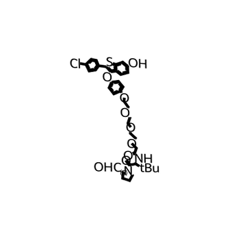 CC(C)(C)C(NC(=O)COCCOCCOCCOc1ccc(Oc2c(-c3ccc(Cl)cc3)sc3cc(O)ccc23)cc1)C(=O)N1CCC[C@H]1C=O